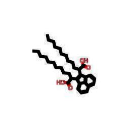 CCCCCCCCCCC(C(=O)O)C1=C(C(CCCCCCCCCC)C(=O)O)c2cccc3cccc1c23